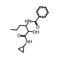 CCCC(NC(=O)c1ccccc1)C(O)C(=O)NC1CC1